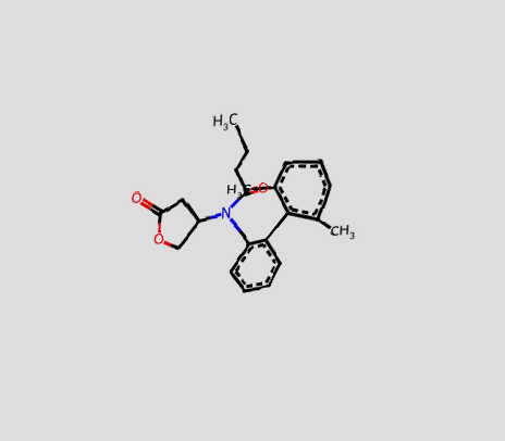 CCCC(=O)N(c1ccccc1-c1c(C)cccc1C)C1COC(=O)C1